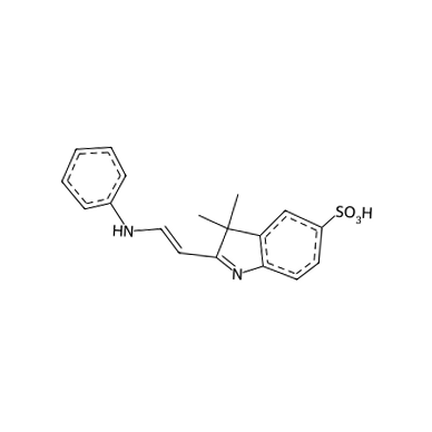 CC1(C)C(C=CNc2ccccc2)=Nc2ccc(S(=O)(=O)O)cc21